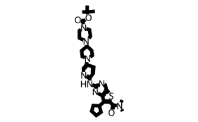 CN(C)C(=O)c1sc2cnc(Nc3ccc(N4CCC(N5CCN(C(=O)OC(C)(C)C)CC5)CC4)cn3)nc2c1C1CCCC1